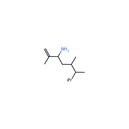 C=C(C)C(N)CC(C)C(C)C(C)C